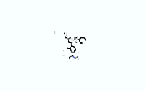 CNCc1cc(-c2ccccc2CO)n(S(=O)(=O)c2cccnc2)c1.O=C(O)/C=C/C(=O)O